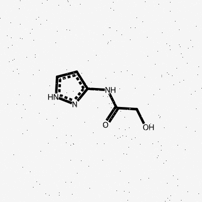 O=C(CO)Nc1cc[nH]n1